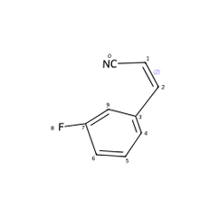 N#C/C=C\c1cccc(F)c1